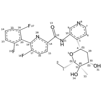 CC[C@@H]1O[C@H](c2ccncc2NC(=O)c2ccc(F)c(-c3c(F)cccc3F)n2)C[C@H](O)[C@@]1(C)O